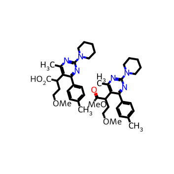 COCCC(C(=O)O)c1c(C)nc(N2CCCCC2)nc1-c1ccc(C)cc1.COCCC(C(=O)OC)c1c(C)nc(N2CCCCC2)nc1-c1ccc(C)cc1